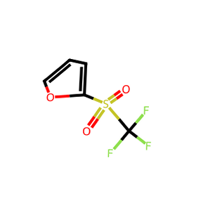 O=S(=O)(c1ccco1)C(F)(F)F